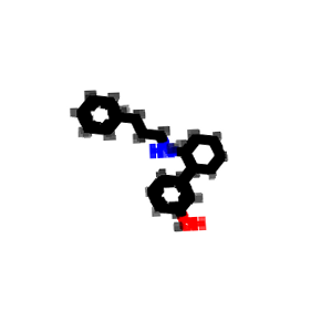 Oc1cccc(C2CCCCC2NCCCc2ccccc2)c1